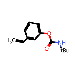 C=Cc1cccc(OC(=O)NC(C)(C)C)c1